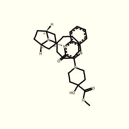 COC(=O)C1(O)CCN(c2nc3ccccc3n([C@H]3C[C@H]4CC[C@@H](C3)N4C3CCCCCCC3)c2=O)CC1